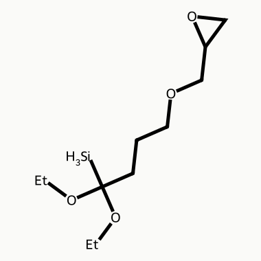 CCOC([SiH3])(CCCOCC1CO1)OCC